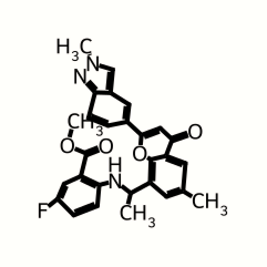 COC(=O)c1cc(F)ccc1NC(C)c1cc(C)cc2c(=O)cc(-c3ccc4nn(C)cc4c3)oc12